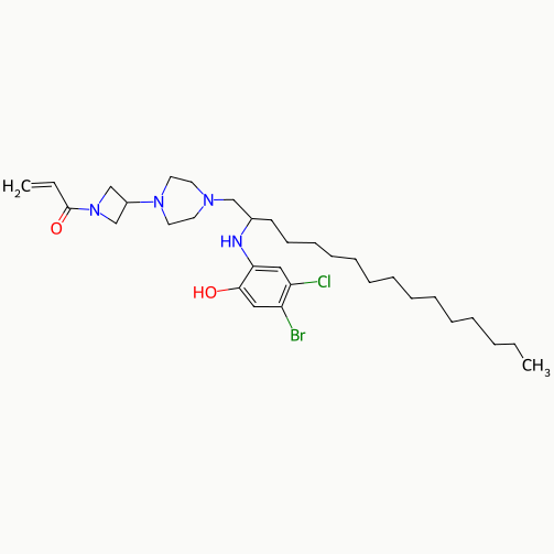 C=CC(=O)N1CC(N2CCN(CC(CCCCCCCCCCCCCC)Nc3cc(Cl)c(Br)cc3O)CC2)C1